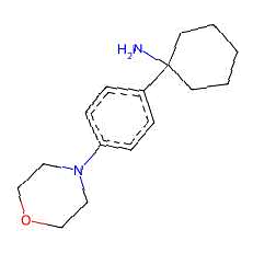 NC1(c2ccc(N3CCOCC3)cc2)CCCCC1